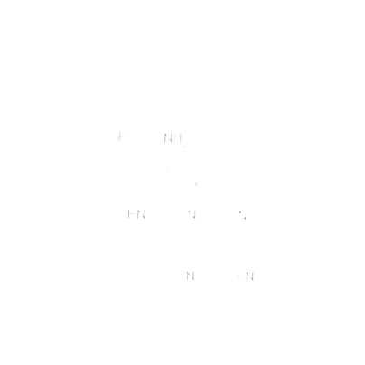 Cc1cccc(Nc2nc(NC(CC(C)C)C(N)=O)cnc2C#N)c1